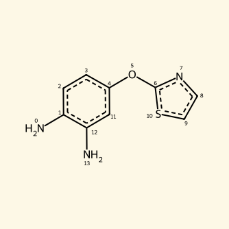 Nc1ccc(Oc2nccs2)cc1N